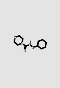 O=C(NSC1CCCCC1)N1CCOCC1